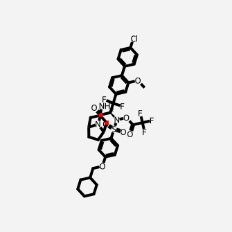 COc1cc(C(F)(F)[C@H](C(=O)N2C3CCC2CC(N)C3)N(OC(=O)C(F)(F)F)S(=O)(=O)c2ccc(OCC3CCCCC3)cc2)ccc1-c1ccc(Cl)cc1